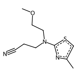 COCCN(CCC#N)c1nc(C)cs1